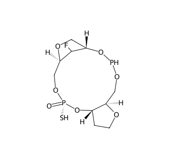 O=[P@@]1(S)OC[C@H]2OC[C@H](OPOC[C@H]3OCC[C@@H]3O1)C2F